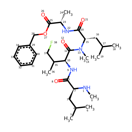 CN[C@@H](CC(C)C)C(=O)N[C@H](C(=O)N(C)[C@@H](CC(C)C)C(=O)N[C@@H](C)C(=O)OCc1ccccc1)C(C)CF